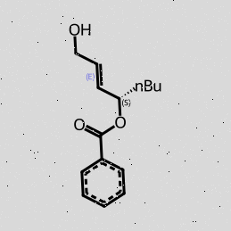 CCCC[C@@H](/C=C/CO)OC(=O)c1ccccc1